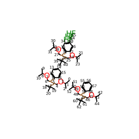 CC(C)OCS(COC(C)C)(c1ccccc1)C(C)(C)C.CC(C)OCS(COC(C)C)(c1ccccc1)C(C)(C)C.CC(C)OCS(COC(C)C)(c1ccccc1)C(C)(C)C.F.F.F